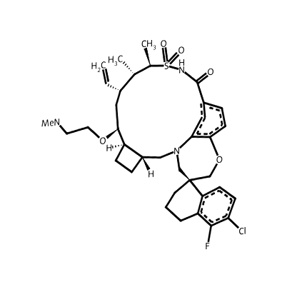 C=C[C@H]1C[C@H](OCCNC)[C@@H]2CC[C@H]2CN2C[C@@]3(CCCc4c3ccc(Cl)c4F)COc3ccc(cc32)C(=O)NS(=O)(=O)[C@H](C)[C@H]1C